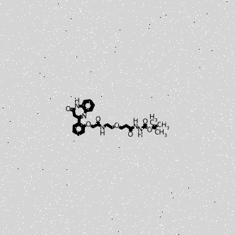 CC(C)(C)OC(=O)NNC(=O)CCOCCNC(=O)COc1ccccc1C1=Nc2ccccc2NC(=O)C1